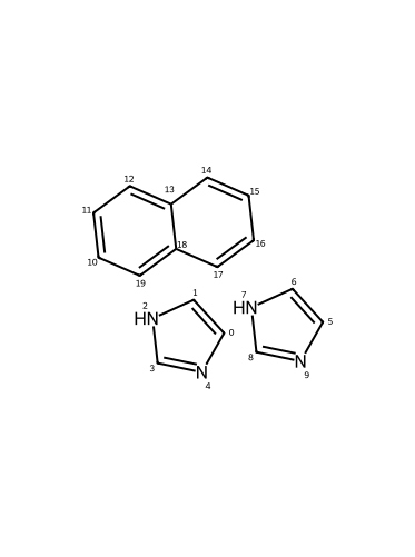 c1c[nH]cn1.c1c[nH]cn1.c1ccc2ccccc2c1